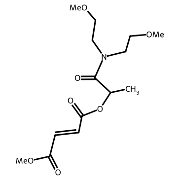 COCCN(CCOC)C(=O)C(C)OC(=O)/C=C/C(=O)OC